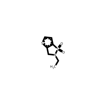 CCN1Cc2sccc2S1(=O)=O